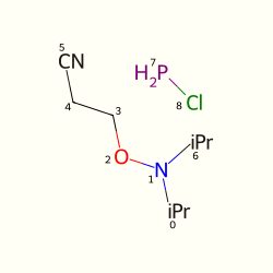 CC(C)N(OCCC#N)C(C)C.PCl